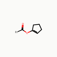 CCC(=O)OC1=CCCC1